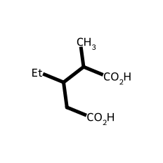 CCC(CC(=O)O)C(C)C(=O)O